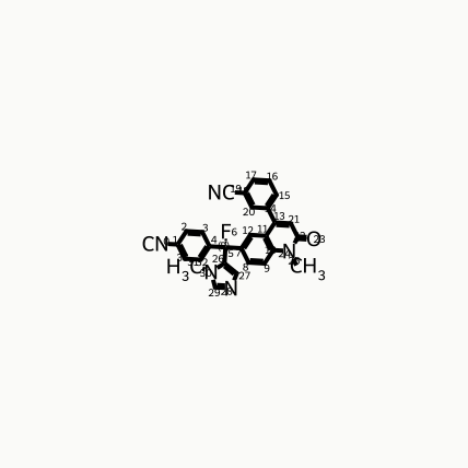 [C-]#[N+]c1ccc([C@@](F)(c2ccc3c(c2)c(-c2cccc(C#N)c2)cc(=O)n3C)c2cncn2C)cc1